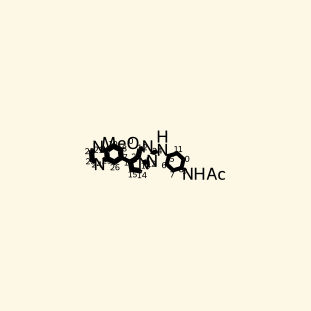 COc1nc(N[C@H]2CC[C@H](NC(C)=O)CC2)nn2ccc(-c3ccc4nccnc4c3)c12